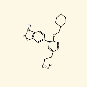 CCn1ncc2cc(-c3cc(CCC(=O)O)ccc3OCC3CCCCC3)ccc21